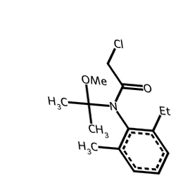 CCc1cccc(C)c1N(C(=O)CCl)C(C)(C)OC